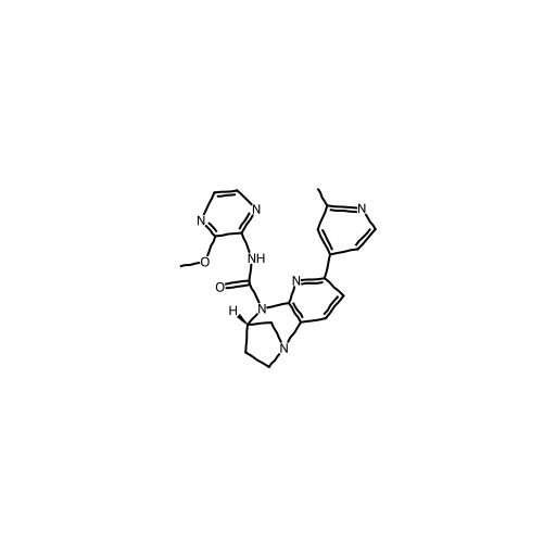 COc1nccnc1NC(=O)N1c2nc(-c3ccnc(C)c3)ccc2N2CC[C@H]1C2